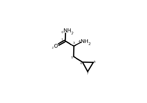 NC(=O)C(N)CC1CC1